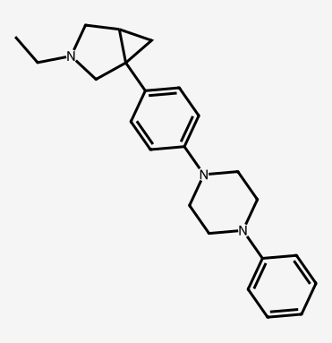 CCN1CC2CC2(c2ccc(N3CCN(c4ccccc4)CC3)cc2)C1